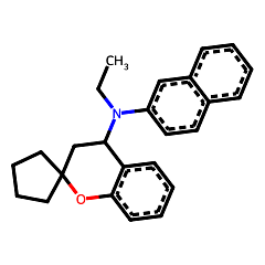 CCN(c1ccc2ccccc2c1)C1CC2(CCCC2)Oc2ccccc21